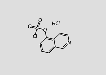 Cl.O=S(=O)(Cl)Oc1cccc2cnccc12